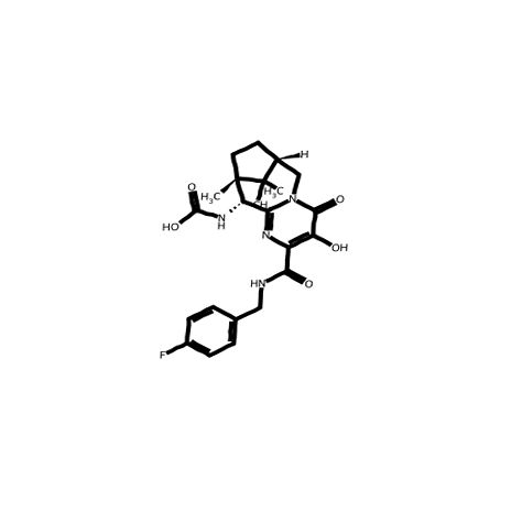 CC1(C)[C@@H]2CC[C@@]1(C)[C@@H](NC(=O)O)c1nc(C(=O)NCc3ccc(F)cc3)c(O)c(=O)n1C2